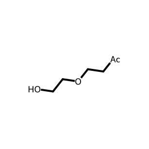 CC(=O)CCOCCO